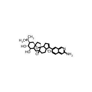 CN(C)[C@H]1C[C@@]23CC[C@]4(O2)C2CC=C(c5ccc6cc(N)ncc6c5)[C@@]2(C)CCC4(Cl)CC3[C@@H](O)[C@@H]1O